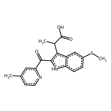 CSc1ccc2[nH]c(C(=O)c3cc(C)ccn3)c(C(C)C(=O)O)c2c1